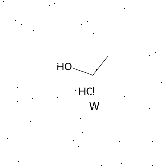 CCO.Cl.[W]